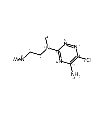 CNCCN(C)c1nnc(Cl)c(N)n1